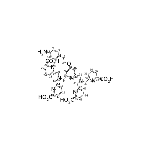 Nc1ccc(CCOc2cc(CN(Cc3cccc(C(=O)O)n3)Cc3cccc(C(=O)O)n3)nc(CN(Cc3cccc(C(=O)O)n3)Cc3cccc(C(=O)O)n3)c2)cc1